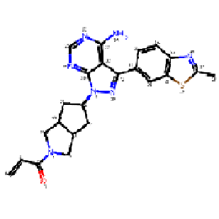 C=CC(=O)N1CC2CC(n3nc(-c4ccc5nc(C)sc5c4)c4c(N)ncnc43)CC2C1